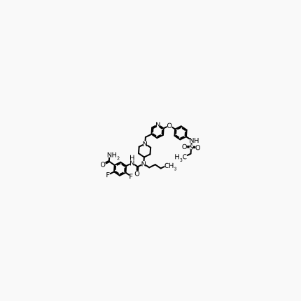 CCCCN(C(=O)Nc1cc(C(N)=O)c(F)cc1F)C1CCN(Cc2ccc(Oc3ccc(NS(=O)(=O)CC)cc3)nc2)CC1